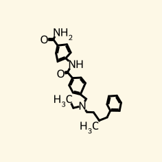 CCN(CCC(C)Cc1ccccc1)Cc1ccc(C(=O)Nc2ccc(C(N)=O)cc2)cc1